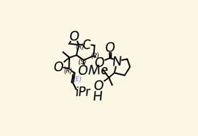 CO[C@H]1C(C2(C)O[C@@H]2/C=C/C(C)C)[C@]2(CC[C@H]1OC(=O)N1CCCC1C(C)(C)O)CO2